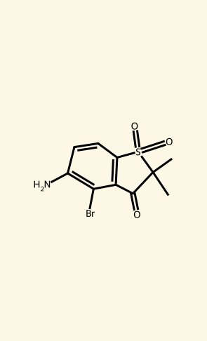 CC1(C)C(=O)c2c(ccc(N)c2Br)S1(=O)=O